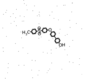 Cc1ccc(S(=O)(=O)c2ccc(Oc3ccc(-c4ccc(O)cc4)cc3)cc2)cc1